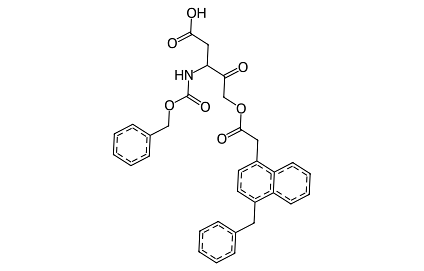 O=C(O)CC(NC(=O)OCc1ccccc1)C(=O)COC(=O)Cc1ccc(Cc2ccccc2)c2ccccc12